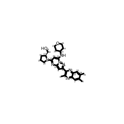 Cc1cc2nc(C)c(-c3cc4nc(N5CCC[C@H]5CO)cc(NC5CCOCC5)n4n3)nc2cc1C